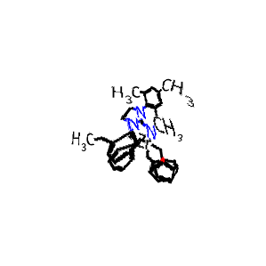 CCc1ccccc1N1CCN(c2c(C)cc(C)cc2C)/C1=[N]/[Zr]([CH2]c1ccccc1)([CH2]c1ccccc1)[CH2]c1ccccc1